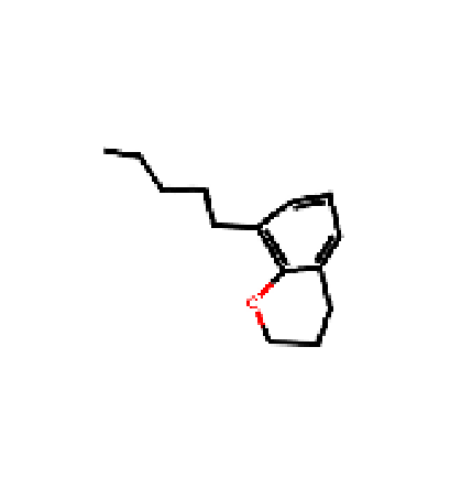 CCCCCc1cccc2c1OCCC2